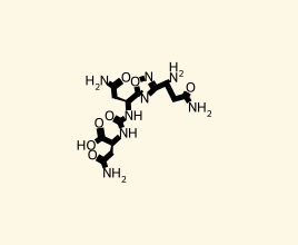 NC(=O)C[C@H](NC(=O)N[C@@H](CC(N)=O)c1nc([C@@H](N)CC(N)=O)no1)C(=O)O